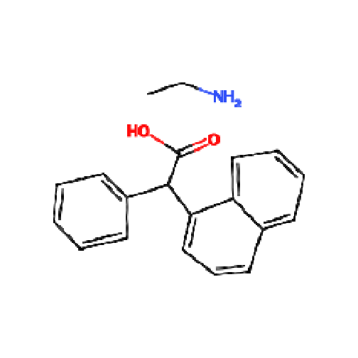 CCN.O=C(O)C(c1ccccc1)c1cccc2ccccc12